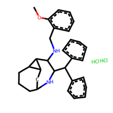 COc1ccccc1CNC1C(C(c2ccccc2)c2ccccc2)NC2CCCC3C(C2)C31.Cl.Cl